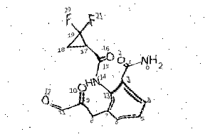 NC(=O)c1cccc(CC(=O)C=O)c1NC(=O)[C@H]1CC1(F)F